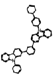 C1=CCCC(N2C3=CC(C4C=CC=C(c5ccc6c(c5)c5ccccc5n6C5C=CC(C6CC=CCC6)=CC5)C4)=CCC3c3ccccc32)=C1